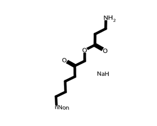 CCCCCCCCCCCCCC(=O)COC(=O)CCN.[NaH]